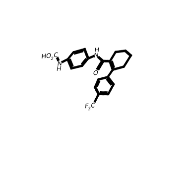 O=C(O)Nc1ccc(NC(=O)C2=C(c3ccc(C(F)(F)F)cc3)CCCC2)cc1